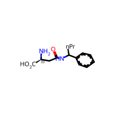 CCCC(NC(=O)C[C@H](N)C(=O)O)c1ccccc1